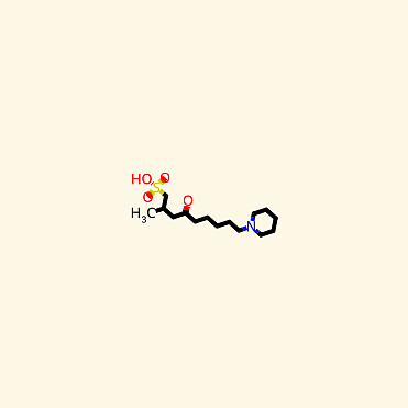 CC(CC(=O)CCCCCN1CCCCC1)CS(=O)(=O)O